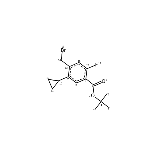 CC(C)(C)OC(=O)c1cc(C2CC2)c(CBr)cc1F